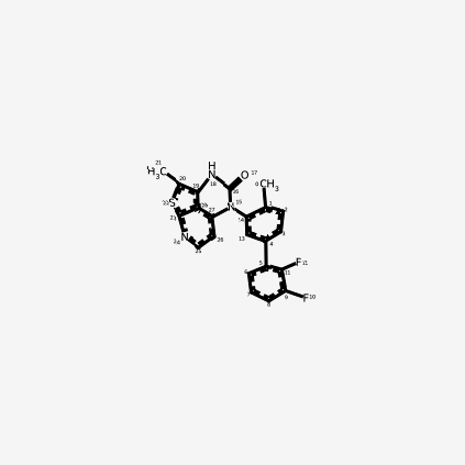 Cc1ccc(-c2cccc(F)c2F)cc1N1C(=O)Nc2c(C)sc3nccc1c23